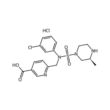 C[C@H]1CN(S(=O)(=O)N(Cc2ccc(C(=O)O)cn2)c2cccc(Cl)c2)CCN1.Cl